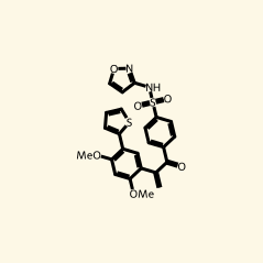 C=C(C(=O)c1ccc(S(=O)(=O)Nc2ccon2)cc1)c1cc(-c2cccs2)c(OC)cc1OC